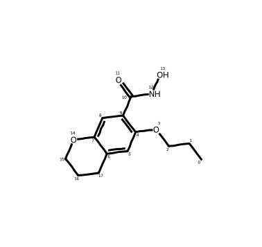 CCCOc1cc2c(cc1C(=O)NO)OCCC2